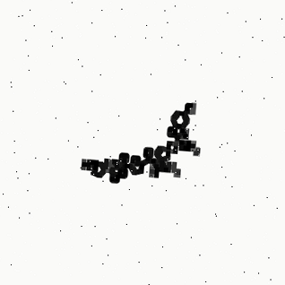 N[C@]1(NC(=O)c2ccc(S(=O)(=O)NC(=O)C3CCNC3)o2)C#C[C@]2(C1)C[C@](N)(c1nc3cc(Cl)ccc3o1)C2